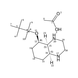 CC(=O)O.CC(C)(C)[Si](C)(C)O[C@@H]1CCC[C@@H]2NCCN[C@@H]21